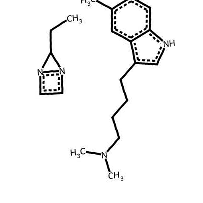 CCC1n2ccn21.Cc1ccc2[nH]cc(CCCCN(C)C)c2c1